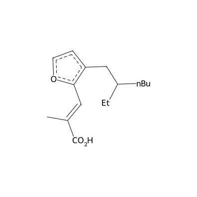 CCCCC(CC)Cc1ccoc1C=C(C)C(=O)O